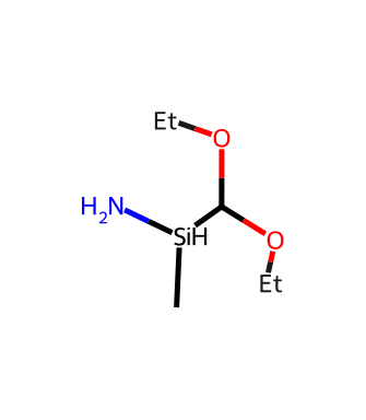 CCOC(OCC)[SiH](C)N